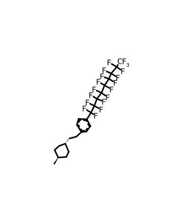 C[C@H]1CC[C@H](CCc2ccc(C(F)(F)C(F)(F)C(F)(F)C(F)(F)C(F)(F)C(F)(F)C(F)(F)C(F)(F)C(F)(F)F)cc2)CC1